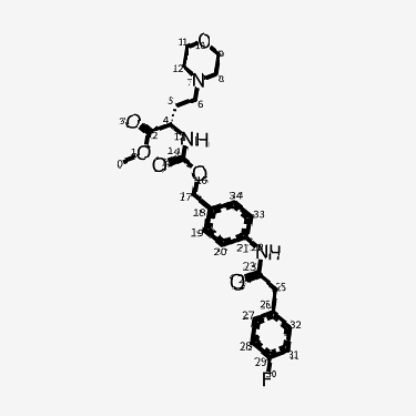 COC(=O)[C@H](CCN1CCOCC1)NC(=O)OCc1ccc(NC(=O)Cc2ccc(F)cc2)cc1